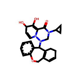 O=C1C2=C(O)C(O)C=CN2N(C2C3=C(C=CCC3)COc3ccccc32)CN1C1CC1